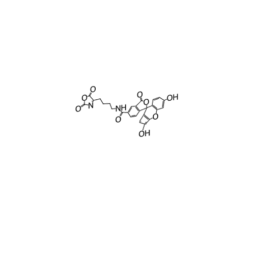 O=C1N=C(CCCCNC(=O)c2ccc3c(c2)C(=O)OC32c3ccc(O)cc3Oc3cc(O)ccc32)C(=O)O1